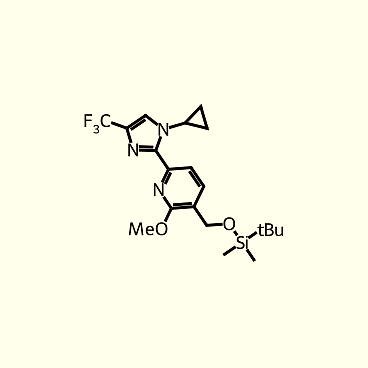 COc1nc(-c2nc(C(F)(F)F)cn2C2CC2)ccc1CO[Si](C)(C)C(C)(C)C